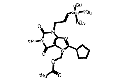 CCC[CH2][Sn]([CH]=CCn1c(=O)n(CCC)c(=O)c2c1nc(C1CCCC1)n2COC(=O)C(C)(C)C)([CH2]CCC)[CH2]CCC